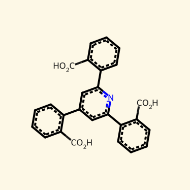 O=C(O)c1ccccc1-c1cc(-c2ccccc2C(=O)O)nc(-c2ccccc2C(=O)O)c1